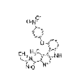 CCc1noc(-c2ncc3[nH]c4cccc(Oc5ccc([N+](=O)[O-])cc5)c4c3c2C)n1